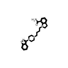 NC(=O)c1cccc2c1N(CCCCN1CCN(c3nsc4ccccc34)CC1)CC2